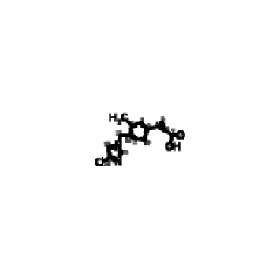 Cc1cc(C2CC2C(=O)O)ccc1Cn1cnc(Cl)c1